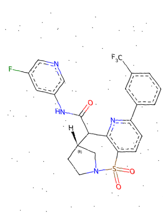 O=C(Nc1cncc(F)c1)C1c2nc(-c3cccc(C(F)(F)F)c3)ccc2S(=O)(=O)N2CC[C@H]1C2